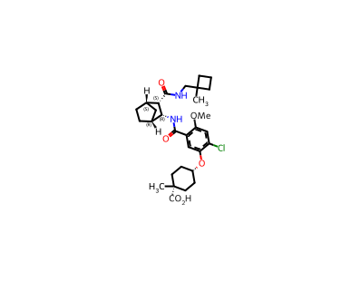 COc1cc(Cl)c(O[C@H]2CC[C@@](C)(C(=O)O)CC2)cc1C(=O)N[C@@H]1[C@@H]2CC[C@@H](C2)[C@@H]1C(=O)NCC1(C)CCC1